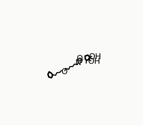 Cc1c([C@@H]2CN(CCCCCCOCCCCc3ccccc3)CO2)ccc(O)c1O